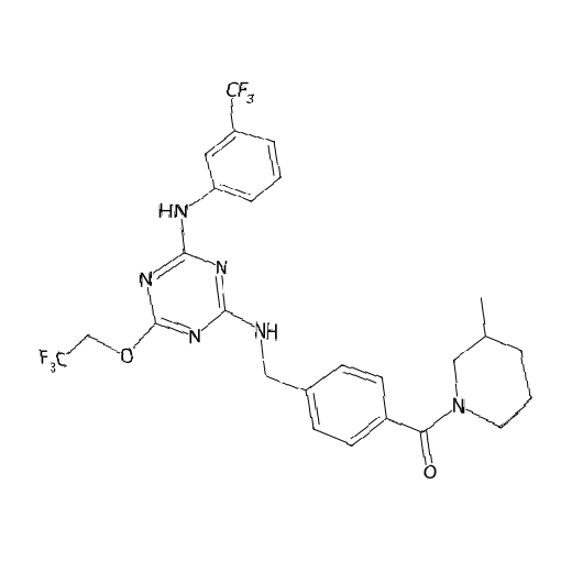 CC1CCCN(C(=O)c2ccc(CNc3nc(Nc4cccc(C(F)(F)F)c4)nc(OCC(F)(F)F)n3)cc2)C1